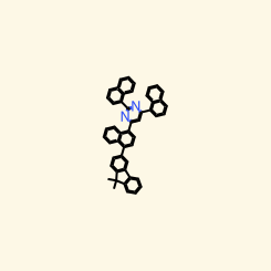 CC1(C)c2ccccc2-c2cc(-c3ccc(-c4cc(-c5cccc6ccccc56)nc(-c5cccc6ccccc56)n4)c4ccccc34)ccc21